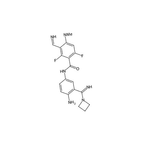 CNc1cc(F)c(C(=O)Nc2ccc(N)c(C(=N)N3CCC3)c2)c(F)c1C=N